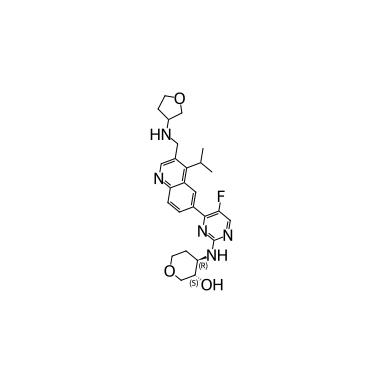 CC(C)c1c(CNC2CCOC2)cnc2ccc(-c3nc(N[C@@H]4CCOC[C@H]4O)ncc3F)cc12